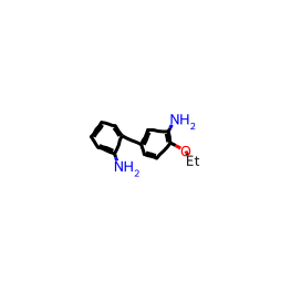 CCOc1ccc(-c2ccccc2N)cc1N